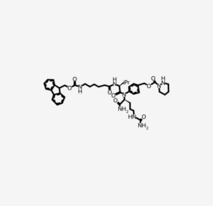 CC(C)[C@H](NC(=O)CCCCCNC(=O)OCC1c2ccccc2-c2ccccc21)C(=O)N(c1ccc(COC(=O)N2CCCCN2)cc1)[C@@H](CCCNC(N)=O)C(N)=O